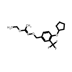 CCO/C(C)=N/OCc1ccc(OC2CCCC2)c(C(F)(F)F)c1